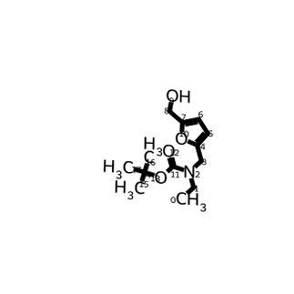 CCN(Cc1ccc(CO)o1)C(=O)OC(C)(C)C